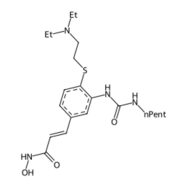 CCCCCNC(=O)Nc1cc(C=CC(=O)NO)ccc1SCCN(CC)CC